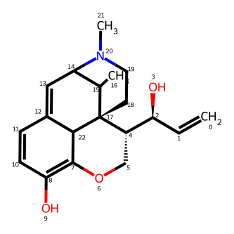 C=C[C@H](O)[C@@H]1COC2=C(O)C=CC3=CC4C(C)[C@@]1(CCN4C)C32